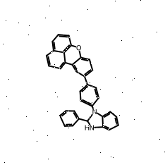 c1ccc(C2Nc3ccccc3N2c2ccc(-c3ccc4c(c3)-c3cccc5cccc(c35)O4)cc2)cc1